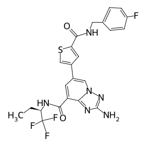 CC[C@@H](NC(=O)c1cc(-c2csc(C(=O)NCc3ccc(F)cc3)c2)cn2nc(N)nc12)C(F)(F)F